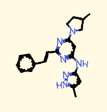 Cc1cc(Nc2cc(N3CCC(C)C3)nc(/C=C/c3ccccc3)n2)n[nH]1